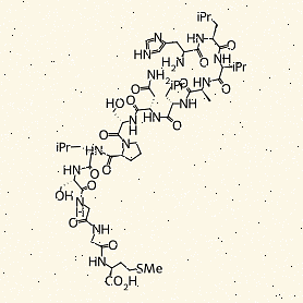 CSCC[C@H](NC(=O)CNC(=O)CNC(=O)[C@H](CO)NC(=O)[C@H](CC(C)C)NC(=O)[C@@H]1CCCN1C(=O)[C@H](CO)NC(=O)[C@H](CC(N)=O)NC(=O)[C@H](CC(C)C)NC(=O)[C@H](C)NC(=O)[C@@H](NC(=O)[C@H](CC(C)C)NC(=O)[C@@H](N)Cc1c[nH]cn1)C(C)C)C(=O)O